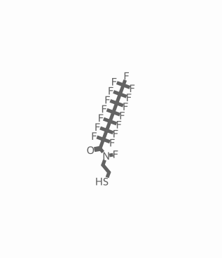 O=C(N(F)CCS)C(F)(F)C(F)(F)C(F)(F)C(F)(F)C(F)(F)C(F)(F)C(F)(F)F